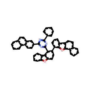 c1ccc(-c2nc(-c3ccc4c(ccc5ccccc54)c3)nc(-c3c(-c4cccc5c4oc4c6ccccc6ccc54)ccc4oc5ccccc5c34)n2)cc1